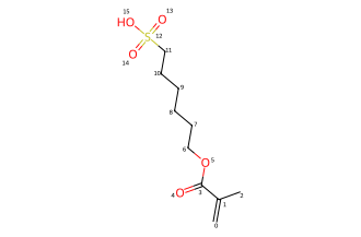 C=C(C)C(=O)OCCCCCCS(=O)(=O)O